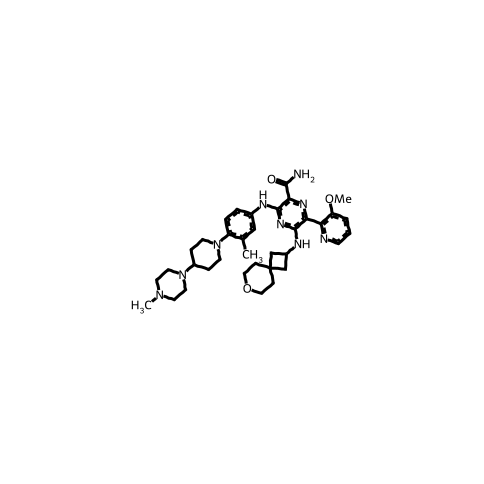 COc1cccnc1-c1nc(C(N)=O)c(Nc2ccc(N3CCC(N4CCN(C)CC4)CC3)c(C)c2)nc1NC1CC2(CCOCC2)C1